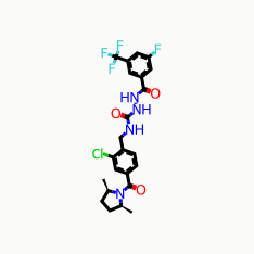 C[C@@H]1CC[C@H](C)N1C(=O)c1ccc(CNC(=O)NNC(=O)c2cc(F)cc(C(F)(F)F)c2)c(Cl)c1